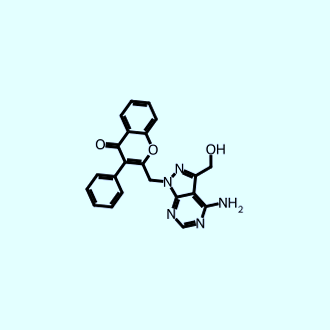 Nc1ncnc2c1c(CO)nn2Cc1oc2ccccc2c(=O)c1-c1ccccc1